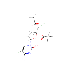 CC(C)C(=O)O[C@H]1[C@H](F)[C@H](n2cc(F)c(N)nc2=O)O[C@@]1(CCl)OC(=O)C(C)(C)C